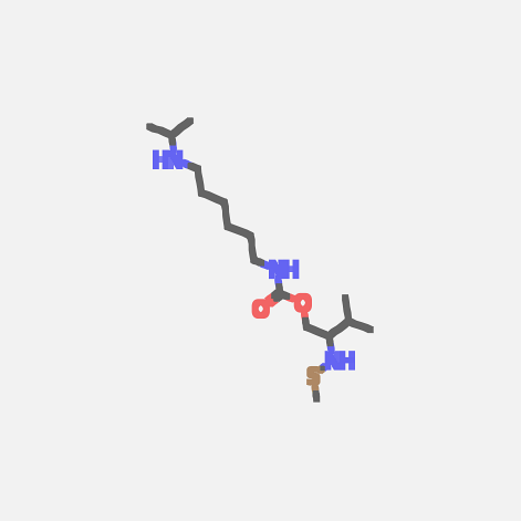 CSNC(COC(=O)NCCCCCCNC(C)C)C(C)C